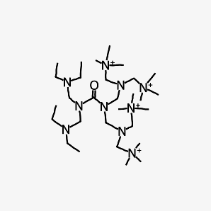 CCN(CC)CN(CN(CC)CC)C(=O)N(CN(C[N+](C)(C)C)C[N+](C)(C)C)CN(C[N+](C)(C)C)C[N+](C)(C)C